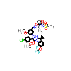 COc1cc(C=NOC(C)(C)C(=O)NS(C)(=O)=O)cc(NC(C(=O)N2CC3(CC3)c3ccc(OC(F)(F)F)cc32)c2ccc(Cl)cc2OC)c1